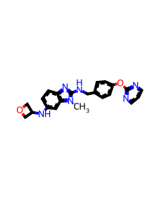 Cn1c(NCc2ccc(Oc3ncccn3)cc2)nc2ccc(NC3COC3)cc21